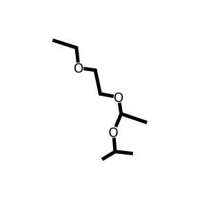 CCOCCOC(C)OC(C)C